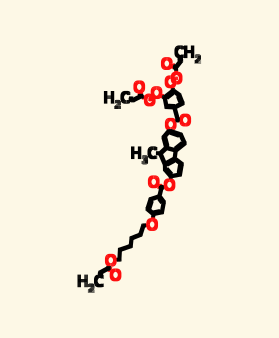 C=CC(=O)OCCCCCCOc1ccc(C(=O)Oc2ccc3c(c2)C(C)c2cc(OC(=O)c4ccc(OOC(=O)C=C)c(OOC(=O)C=C)c4)ccc2-3)cc1